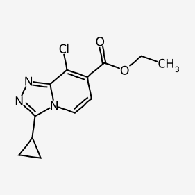 CCOC(=O)c1ccn2c(C3CC3)nnc2c1Cl